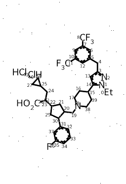 CCn1nc(Cc2cc(C(F)(F)F)cc(C(F)(F)F)c2)cc1C1CCN(CC2CC([C@H](CC3CC3)C(=O)O)CC2c2cccc(F)c2)CC1.Cl.Cl